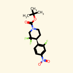 CC(C)(C)OC(=O)N1CC[C@@H](c2ccc([N+](=O)[O-])cc2F)C(F)(F)C1